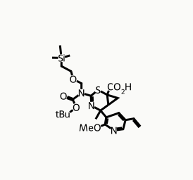 C=Cc1cnc(OC)c(C2(C)N=C(N(COCC[Si](C)(C)C)C(=O)OC(C)(C)C)SC3(C(=O)O)CC32)c1